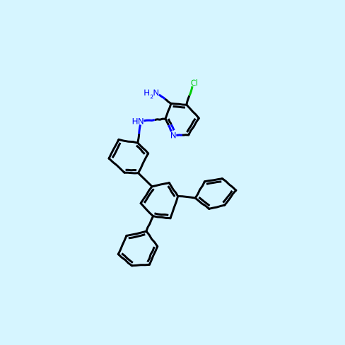 Nc1c(Cl)ccnc1Nc1cccc(-c2cc(-c3ccccc3)cc(-c3ccccc3)c2)c1